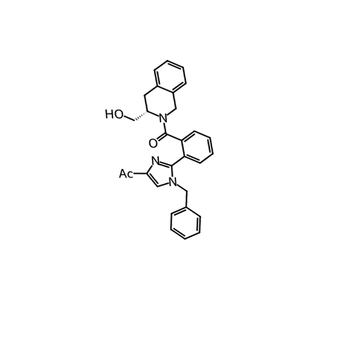 CC(=O)c1cn(Cc2ccccc2)c(-c2ccccc2C(=O)N2Cc3ccccc3C[C@H]2CO)n1